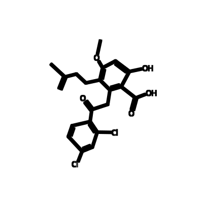 C=C(C)CCc1c(OC)cc(O)c(C(=O)O)c1CC(=O)c1ccc(Cl)cc1Cl